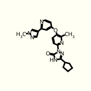 Cc1nc(-n2nc(C3CCCC3)[nH]c2=O)ccc1Oc1ccnc(-c2cnn(C)c2)c1